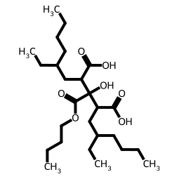 CCCCOC(=O)C(O)(C(CC(CC)CCCC)C(=O)O)C(CC(CC)CCCC)C(=O)O